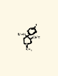 COC1CN(C)CCC1(OC)c1ccc(F)cc1